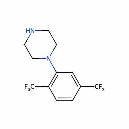 FC(F)(F)c1ccc(C(F)(F)F)c(N2CCNCC2)c1